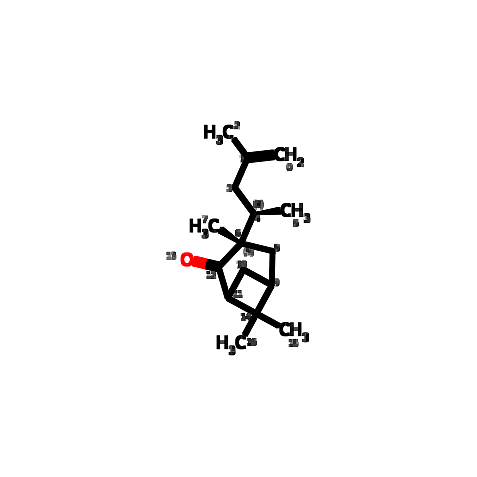 C=C(C)C[C@@H](C)[C@]1(C)CC2CC(C1=O)C2(C)C